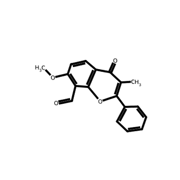 COc1ccc2c(=O)c(C)c(-c3ccccc3)oc2c1C=O